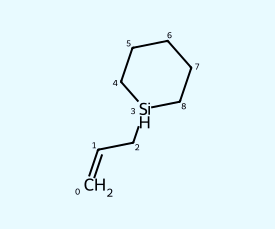 C=CC[SiH]1CCCCC1